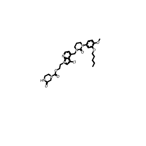 CCCCCOc1cc(N2CCCN(Cc3ccnc4c3c(Cl)cn4CCOC(=O)N3CCNC(=O)C3)C2=O)ccc1OC